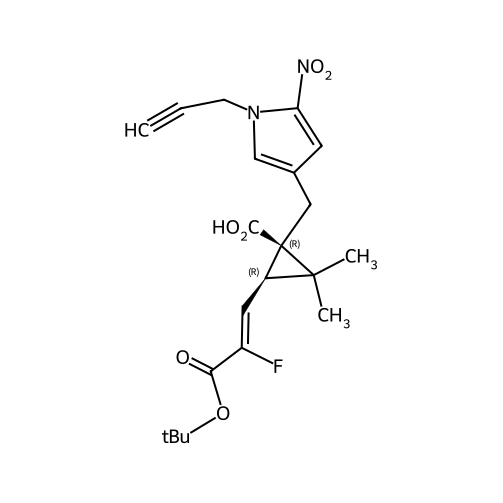 C#CCn1cc(C[C@@]2(C(=O)O)[C@H](C=C(F)C(=O)OC(C)(C)C)C2(C)C)cc1[N+](=O)[O-]